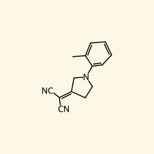 Cc1ccccc1N1CCC(=C(C#N)C#N)C1